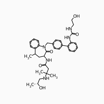 CC1CC(NC(=O)CC(C)(C)NC[C@@H](C)O)C(=O)N(Cc2ccc(-c3ccccc3NC(=O)NCCO)cc2)c2ccccc21